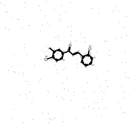 Cc1cc(C(=O)C=Cc2ccccc2Cl)ccc1Cl